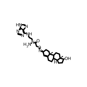 C[C@]12CC/C(=N\OCC(=O)N(N)CCNc3ncnc4[nH]cnc34)C=C1CC[C@H]1C2CC[C@@]2(C)C1CC[C@@H]2O